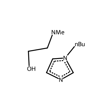 CCCCn1ccnc1.CNCCO